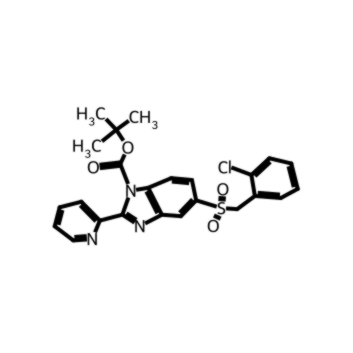 CC(C)(C)OC(=O)n1c(-c2ccccn2)nc2cc(S(=O)(=O)Cc3ccccc3Cl)ccc21